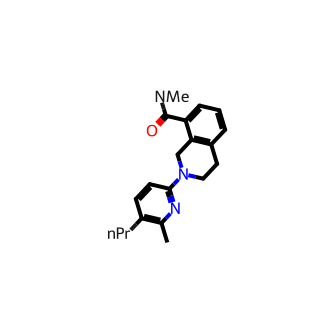 CCCc1ccc(N2CCc3cccc(C(=O)NC)c3C2)nc1C